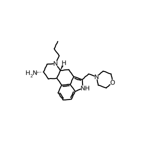 CCCN1C[C@@H](N)CC2c3cccc4[nH]c(CN5CCOCC5)c(c34)C[C@H]21